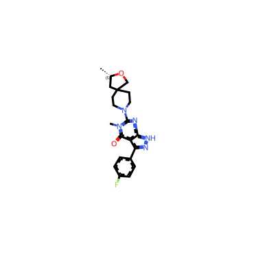 C[C@H]1CC2(CCN(c3nc4[nH]nc(-c5ccc(F)cc5)c4c(=O)n3C)CC2)CO1